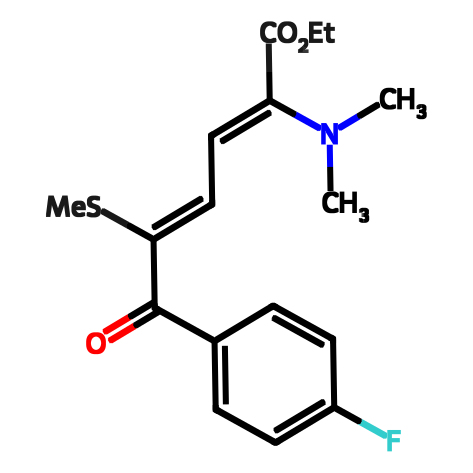 CCOC(=O)C(=CC=C(SC)C(=O)c1ccc(F)cc1)N(C)C